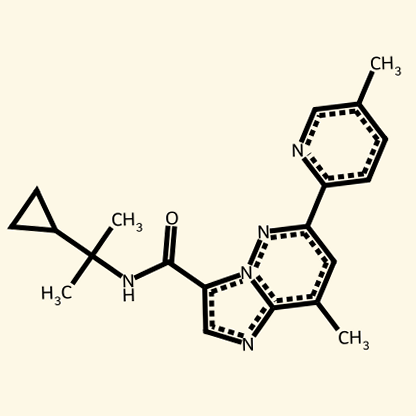 Cc1ccc(-c2cc(C)c3ncc(C(=O)NC(C)(C)C4CC4)n3n2)nc1